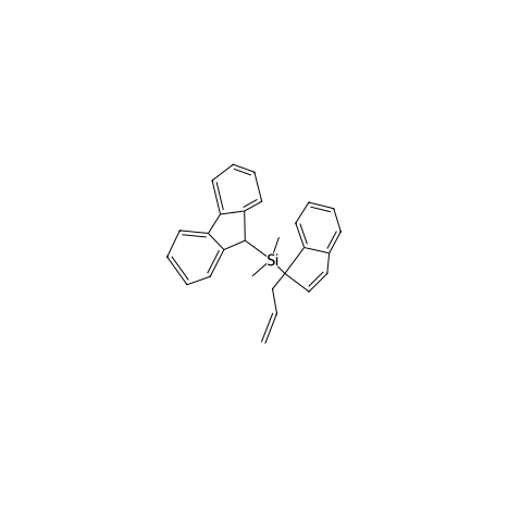 C=CCC1([Si](C)(C)C2c3ccccc3-c3ccccc32)C=Cc2ccccc21